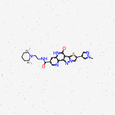 C[C@@H]1CCC[C@H](C)N1CCNC(=O)c1cnc2c(c1)[nH]c(=O)c1c2nn2cc(-c3cnn(C)c3)sc12